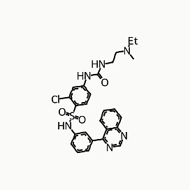 CCN(C)CCNC(=O)Nc1ccc(S(=O)(=O)Nc2cccc(-c3ncnc4ccccc34)c2)c(Cl)c1